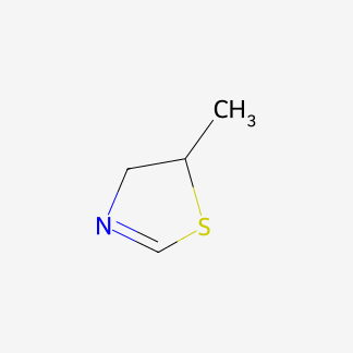 CC1CN=CS1